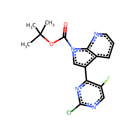 CC(C)(C)OC(=O)n1cc(-c2nc(Cl)ncc2F)c2cccnc21